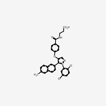 Cc1ccc2cc(-c3c(Oc4ccc(C(=O)NCCC(=O)O)cc4)cnn3-c3cc(Cl)ccc3Cl)ccc2c1